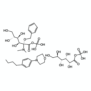 CCCCc1ccc(N2CCOCC2)cc1.CN(C)[C@](OCc1ccccc1)(C(=O)OP(=O)(O)O)[C@@H](O)[C@H](O)[C@H](O)CO.O=C(OP(=O)(O)O)[C@H](O)[C@@H](O)[C@H](O)[C@H](O)CO